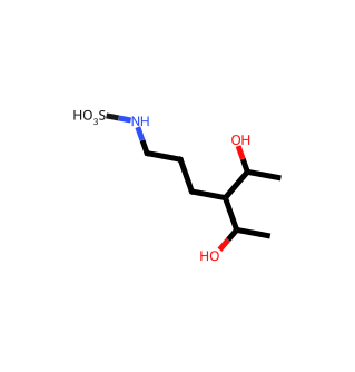 CC(O)C(CCCNS(=O)(=O)O)C(C)O